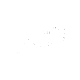 CC[C@H](C)[C@@H]1NC(=O)[C@H](CC(C)C)NC(=O)CNC(=O)CCSCc2cc(cc(CN3CCN(C(=O)CN4CCN(CC(=O)O)CCN(CC(=O)O)CCN(CC(=O)O)CC4)CC3)c2)CSC[C@@H](C(N)=O)NC1=O